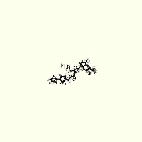 COc1ccc(-c2nc(C(=O)NCc3ccc(-c4nccs4)cc3)c(CN)o2)c2ccc(C(F)(F)F)nc12